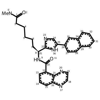 CNC(=O)CCCCC[C@H](NC(=O)c1cccc2nccnc12)c1ncc(-c2ccc3ccccc3c2)[nH]1